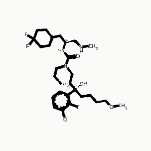 CNC[C@H](CC1CCC(F)(F)CC1)NC(=O)N1CCC[C@@H]([C@@](O)(CCCCOC)c2cccc(Cl)c2F)C1